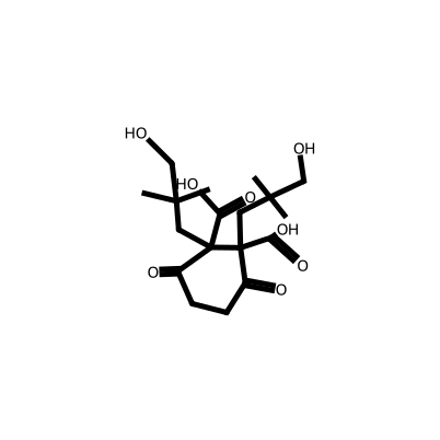 CC(C)(CO)CC1(C(=O)O)C(=O)CCC(=O)C1(CC(C)(C)CO)C(=O)O